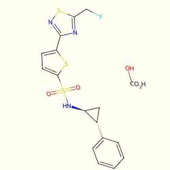 O=C(O)O.O=S(=O)(N[C@H]1C[C@@H]1c1ccccc1)c1ccc(-c2nsc(CF)n2)s1